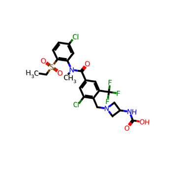 CCS(=O)(=O)c1ccc(Cl)cc1N(C)C(=O)c1cc(Cl)c(CN2CC(NC(=O)O)C2)c(C(F)(F)F)c1